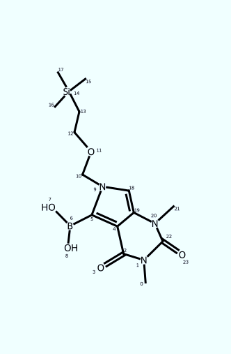 Cn1c(=O)c2c(B(O)O)n(COCC[Si](C)(C)C)cc2n(C)c1=O